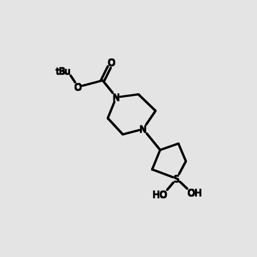 CC(C)(C)OC(=O)N1CCN(C2CCS(O)(O)C2)CC1